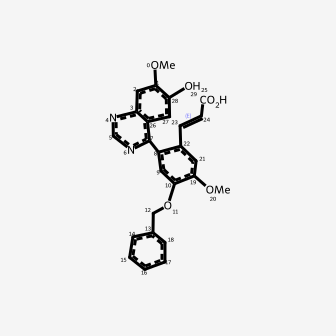 COc1cc2ncnc(-c3cc(OCc4ccccc4)c(OC)cc3/C=C/C(=O)O)c2cc1O